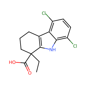 CCC1(C(=O)O)CCCc2c1[nH]c1c(Cl)ccc(Cl)c21